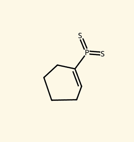 S=P(=S)C1=CCCCC1